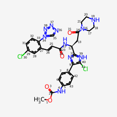 COC(=O)Nc1ccc(-c2nc([C@H](CC(=O)N3CCNCC3)NC(=O)C=Cc3cc(Cl)ccc3-n3cnnn3)[nH]c2Cl)cc1